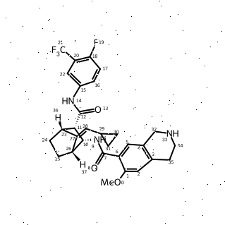 COc1cc2c(cc1C(=O)N[C@H]1[C@@H](C(=O)Nc3ccc(F)c(C(F)(F)F)c3)[C@H]3CC[C@@H]1/C3=C\C1CC1)CNCC2